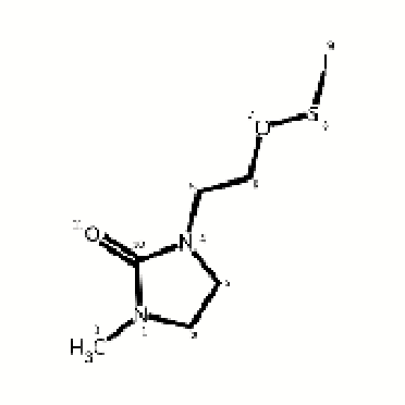 CN1CCN(CCOSI)C1=O